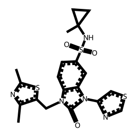 Cc1nc(C)c(Cn2c(=O)n(-c3cscn3)c3cc(S(=O)(=O)NC4(C)CC4)ccc32)s1